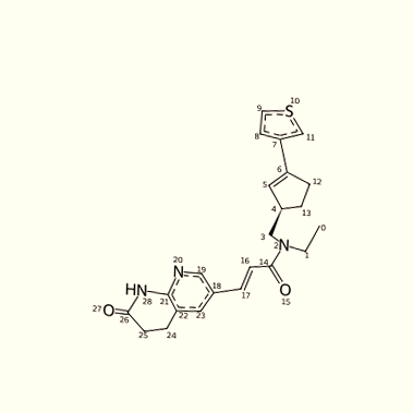 CCN(C[C@H]1C=C(c2ccsc2)CC1)C(=O)/C=C/c1cnc2c(c1)CCC(=O)N2